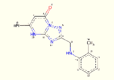 CCCc1cc(=O)n2nc(CNc3ccccc3C)nc2[nH]1